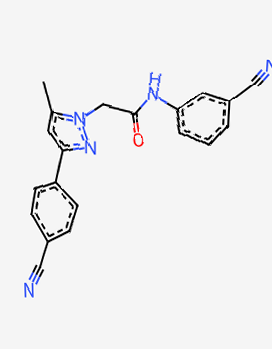 Cc1cc(-c2ccc(C#N)cc2)nn1CC(=O)Nc1cccc(C#N)c1